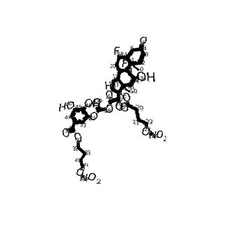 C[C@]12C=CC(=O)C=C1[C@@H](F)CC1C3C[C@@H](O)[C@](OC(=O)CCCO[N+](=O)[O-])(C(=O)COC(=O)Oc4cc(C(=O)OCCCCO[N+](=O)[O-])cc(O)c4O)[C@@]3(C)C[C@H](O)[C@@]12F